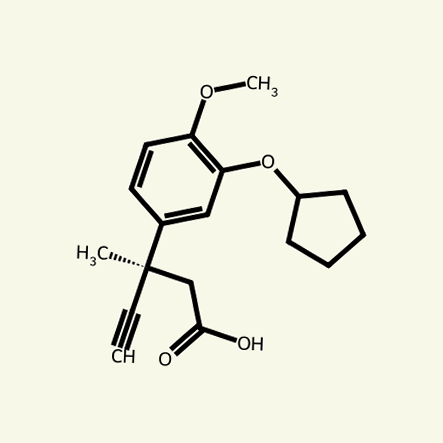 C#C[C@](C)(CC(=O)O)c1ccc(OC)c(OC2CCCC2)c1